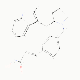 Cc1[nH]c2ccccc2c1CC1CCCN1[C@H](C)c1ccc(C=CC(=O)NO)cc1